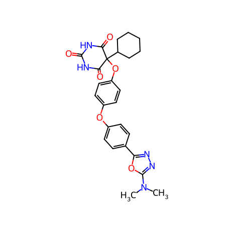 CN(C)c1nnc(-c2ccc(Oc3ccc(OC4(C5CCCCC5)C(=O)NC(=O)NC4=O)cc3)cc2)o1